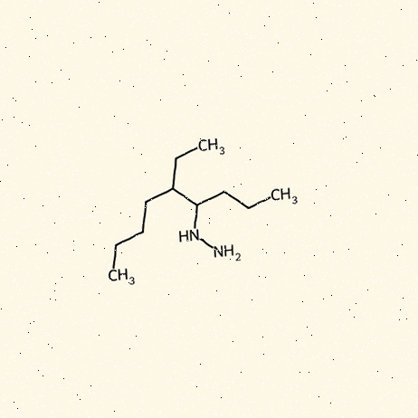 CCCCC(CC)C(CCC)NN